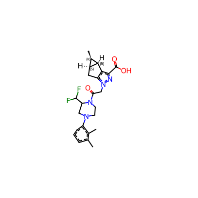 Cc1cccc(N2CCN(C(=O)Cn3nc(C(=O)O)c4c3C[C@H]3[C@@H](C)[C@@H]43)C(C(F)F)C2)c1C